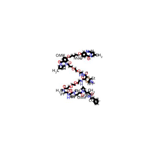 C=C1C[C@H]2CN(C(=O)CCOCCOCCNC(=O)C3SC4(CC)N(I)C4(CCC)SC3C(=O)NCCOCCOCCC(=O)N(C)[C@H](C(=O)N[C@H](C(=O)N(C)[C@@H]([C@@H](C)CC)[C@@H](CC(=O)N3CCC[C@H]3[C@H](OC)[C@@H](C)C(=O)N[C@@H](Cc3ccccc3)C(=O)O)OC)C(C)C)C(C)C)c3cc(OCCCCCOc4cc5c(cc4OC)C(=O)N4CC(=C)C[C@H]4C=N5)c(OC)cc3C(=O)N2C1